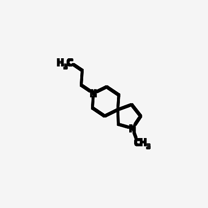 CCCN1CCC2(CCN(C)C2)CC1